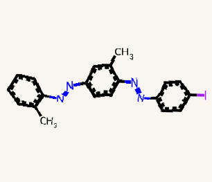 Cc1ccccc1N=Nc1ccc(N=Nc2ccc(I)cc2)c(C)c1